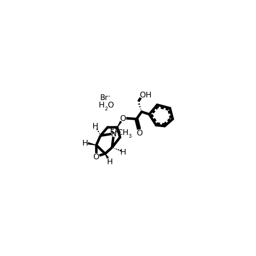 CC[N+]1(C)[C@@H]2C[C@@H](OC(=O)[C@H](CO)c3ccccc3)C[C@H]1[C@@H]1O[C@@H]12.O.[Br-]